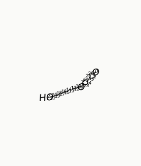 O=C1CCC(c2ccc(OCCCCCCCCCCCCO)cc2)CC1